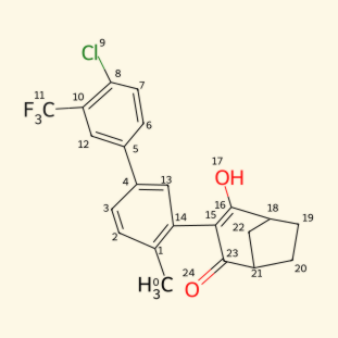 Cc1ccc(-c2ccc(Cl)c(C(F)(F)F)c2)cc1C1=C(O)C2CCC(C2)C1=O